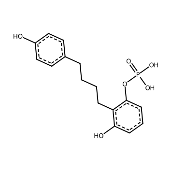 O=P(O)(O)Oc1cccc(O)c1CCCCc1ccc(O)cc1